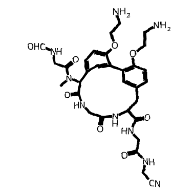 CN(C(=O)CNC=O)C1C(=O)NCC(=O)NC(C(=O)NCC(=O)NCC#N)Cc2ccc(OCCN)c(c2)-c2cc1ccc2OCCN